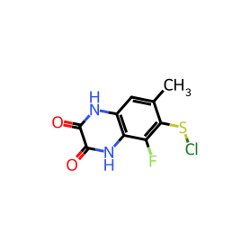 Cc1cc2[nH]c(=O)c(=O)[nH]c2c(F)c1SCl